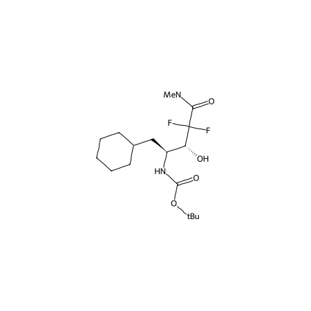 CNC(=O)C(F)(F)[C@H](O)[C@H](CC1CCCCC1)NC(=O)OC(C)(C)C